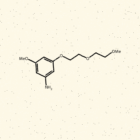 COCCOCCOc1cc(N)cc(OC)c1